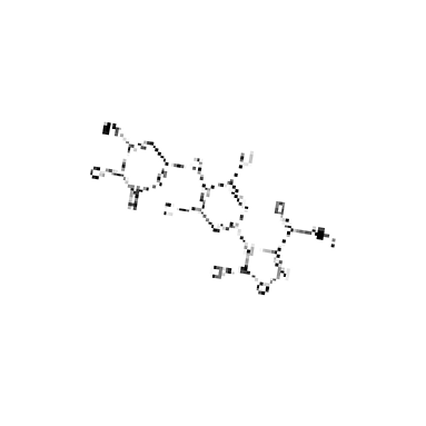 CC(C)c1cc(Oc2c(Cl)cc(-n3c(C(N)=O)noc3=O)cc2Cl)c[nH]c1=O